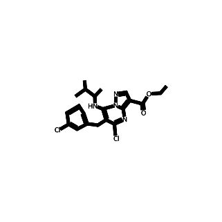 CCOC(=O)c1cnn2c(NC(C)C(C)C)c(Cc3cccc(Cl)c3)c(Cl)nc12